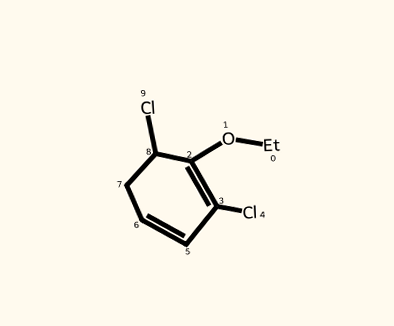 CCOC1=C(Cl)C=CCC1Cl